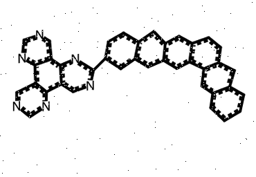 c1ccc2cc3c(ccc4cc5cc6ccc(-c7ncc8c9ncncc9c9ncncc9c8n7)cc6cc5cc43)cc2c1